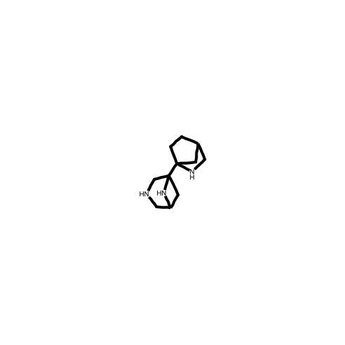 C1CC2(C34CNCC(C3)N4)CC1CN2